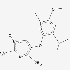 COc1cc(C(C)C)c(Oc2c[n+]([O-])c(N)nc2N)cc1C